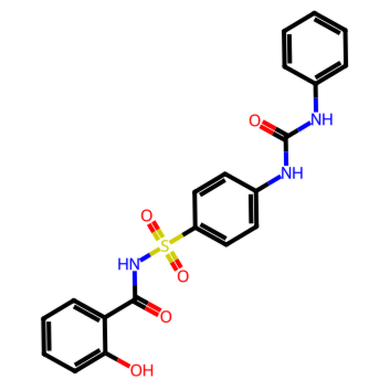 O=C(Nc1ccccc1)Nc1ccc(S(=O)(=O)NC(=O)c2ccccc2O)cc1